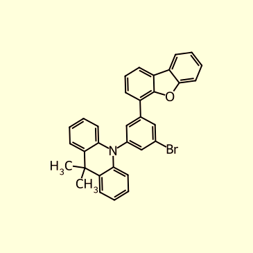 CC1(C)c2ccccc2N(c2cc(Br)cc(-c3cccc4c3oc3ccccc34)c2)c2ccccc21